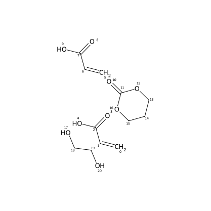 C=CC(=O)O.C=CC(=O)O.O=C1OCCCO1.OCCO